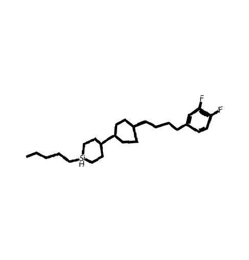 CCCCC[SiH]1CCC(C2CCC(CCCCc3ccc(F)c(F)c3)CC2)CC1